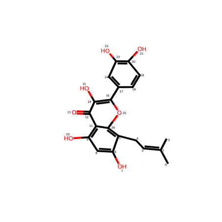 CC(C)=CCc1c(O)cc(O)c2c(=O)c(O)c(-c3ccc(O)c(O)c3)oc12